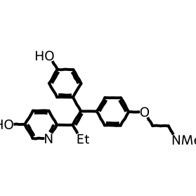 CCC(=C(c1ccc(O)cc1)c1ccc(OCCNC)cc1)c1ccc(O)cn1